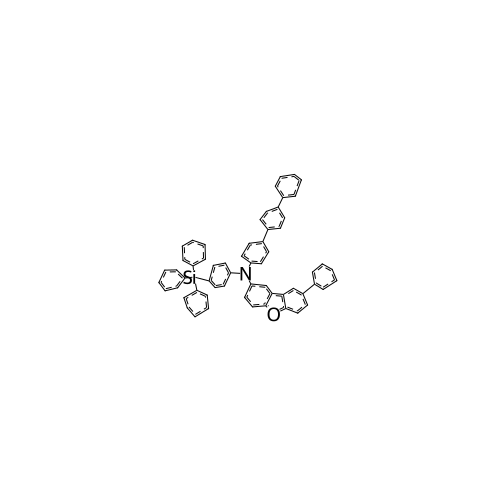 c1ccc(-c2ccc(-c3ccc(N(c4ccc([Si](c5ccccc5)(c5ccccc5)c5ccccc5)cc4)c4ccc5oc6ccc(-c7ccccc7)cc6c5c4)cc3)cc2)cc1